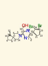 Cc1nc(N2CCC3(CCC[C@H]3C)CC2)c(CO)nc1-c1cccc(Br)c1Br